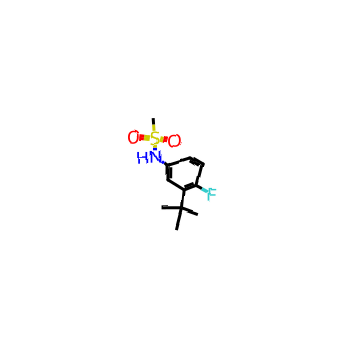 CC(C)(C)c1cc(NS(C)(=O)=O)ccc1F